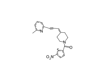 Cc1cccc(C#CC=C2CCN(C(=O)c3ccc([N+](=O)[O-])s3)CC2)n1